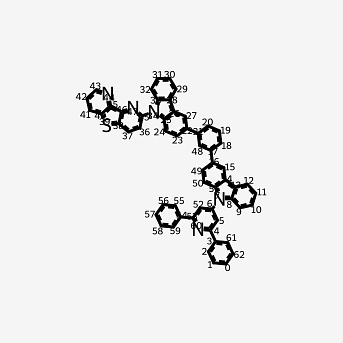 c1ccc(-c2cc(-n3c4ccccc4c4cc(-c5cccc(-c6ccc7c(c6)c6ccccc6n7-c6ccc7sc8cccnc8c7n6)c5)ccc43)cc(-c3ccccc3)n2)cc1